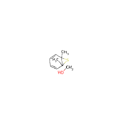 CC12C=CC=CC1(C)S2.CO